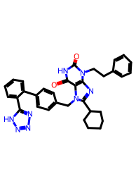 O=c1[nH]c(=O)n(CCc2ccccc2)c2nc(C3CCCCC3)n(Cc3ccc(-c4ccccc4-c4nnn[nH]4)cc3)c12